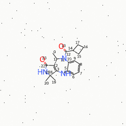 CC1C2=C(Nc3ccccc3N1C(=O)C1CCC1)C(C)(C)NC2=O